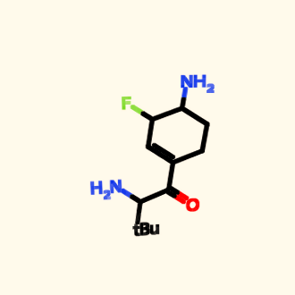 CC(C)(C)C(N)C(=O)C1=CC(F)C(N)CC1